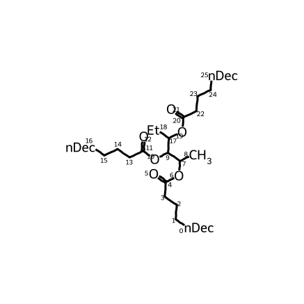 CCCCCCCCCCCCCC(=O)OC(C)C(OC(=O)CCCCCCCCCCCCC)C(CC)OC(=O)CCCCCCCCCCCCC